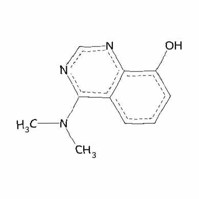 CN(C)c1ncnc2c(O)cccc12